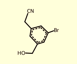 N#CCc1cc(Br)cc(CO)c1